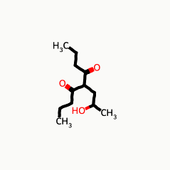 CCCC(=O)C(CC(C)O)C(=O)CCC